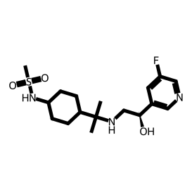 CC(C)(NC[C@H](O)c1cncc(F)c1)C1CCC(NS(C)(=O)=O)CC1